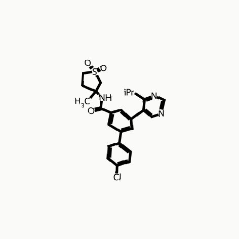 CC(C)c1ncncc1-c1cc(C(=O)NC2(C)CCS(=O)(=O)C2)cc(-c2ccc(Cl)cc2)c1